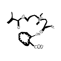 C=C(C)C(=O)OCC[N+](C)(C)CC(=O)CC.O=C([O-])c1ccccc1O